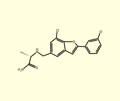 C[C@H](NCc1cc(Cl)c2oc(-c3cccc(Cl)c3)cc2c1)C(N)=O